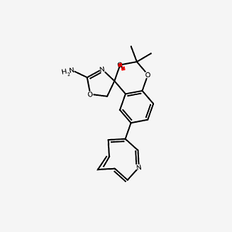 CC1(C)Oc2ccc(C3=C/C=C/C=C/N=C\3)cc2C2(COC(N)=N2)C12COC2